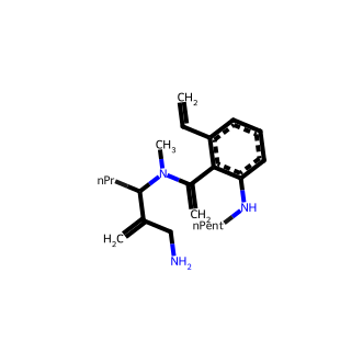 C=Cc1cccc(NCCCCC)c1C(=C)N(C)C(CCC)C(=C)CN